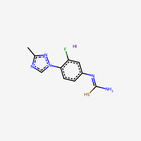 Cc1ncn(-c2ccc(N=C(N)S)cc2F)n1.I